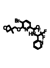 CC1(COc2nc(C(=O)NC(c3ccccn3)C(F)(F)F)ccc2Br)COC1